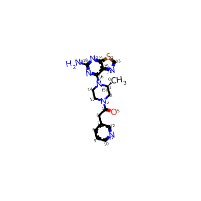 C[C@H]1CN(C(=O)Cc2cccnc2)CCN1c1nc(N)nc2scnc12